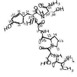 C[C@H](N)C(=O)NC(CO)C(=O)N1CCCC1C(=O)NCC(=O)N[C@@H](Cc1ccc(O)cc1)C(=O)N[C@@H](CO)C(N)=O